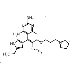 CCc1cc(-c2c(OC)c(OCCCN3CCCC3)cc3nc(N)nc(N)c23)n[nH]1